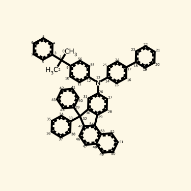 CC(C)(c1ccccc1)c1ccc(N(c2ccc(-c3ccccc3)cc2)c2ccc3c(c2)C(c2ccccc2)(c2ccccc2)c2ccc4ccccc4c2-3)cc1